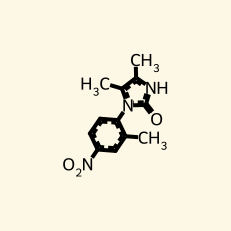 Cc1cc([N+](=O)[O-])ccc1-n1c(C)c(C)[nH]c1=O